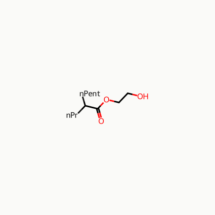 CCCCCC(CCC)C(=O)OCCO